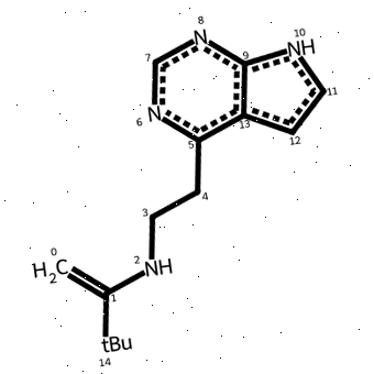 C=C(NCCc1ncnc2[nH]ccc12)C(C)(C)C